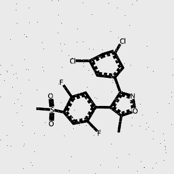 Cc1onc(-c2cc(Cl)cc(Cl)c2)c1-c1cc(F)c(S(C)(=O)=O)cc1F